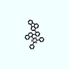 c1ccc(-c2nc(-c3ccccc3)nc(-c3c(-c4ccccc4-c4ccc5c6c(cccc46)-c4ccccc4-5)ccc4ccccc34)n2)cc1